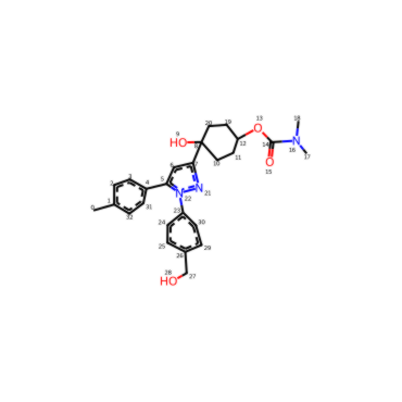 Cc1ccc(-c2cc(C3(O)CCC(OC(=O)N(C)C)CC3)nn2-c2ccc(CO)cc2)cc1